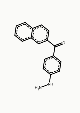 NNc1ccc(C(=O)c2ccc3ccccc3c2)cc1